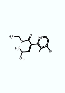 CCOC(=O)/C(=C\N(C)C)c1nccc(Br)c1F